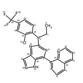 CCN(c1nc(-c2cccc3cccnc23)c2[nH]ncc2n1)c1ccc(C(F)(F)F)cc1Cl